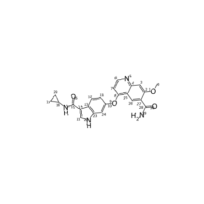 COc1cc2nccc(Oc3ccc4c(C(=O)NC5CC5)c[nH]c4c3)c2cc1C(N)=O